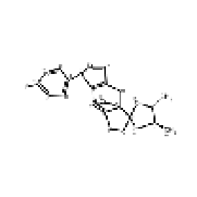 C[C@H]1OC2(CCC3=Cc4c(cnn4-c4ccc(F)cc4)C[C@@]32C)O[C@@H]1C